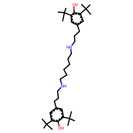 CC(C)(C)c1cc(CCCNCCCCCCNCCCc2cc(C(C)(C)C)c(O)c(C(C)(C)C)c2)cc(C(C)(C)C)c1O